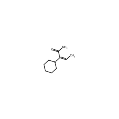 CC=C(C(N)=O)N1CCCCC1